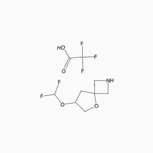 FC(F)OC1COC2(CNC2)C1.O=C(O)C(F)(F)F